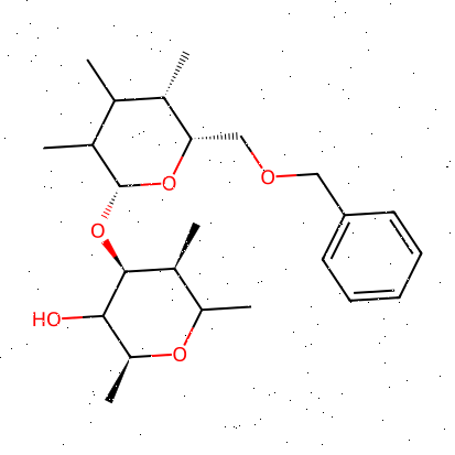 CC1C(C)[C@H](C)[C@H](COCc2ccccc2)O[C@@H]1O[C@@H]1C(O)[C@H](C)OC(C)[C@@H]1C